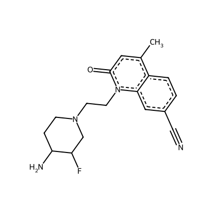 Cc1cc(=O)n(CCN2CCC(N)C(F)C2)c2cc(C#N)ccc12